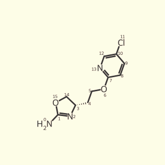 NC1=N[C@@H](CCOc2ccc(Cl)cn2)CO1